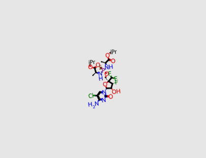 CC(C)OC(=O)[C@H](C)NP(=S)(N[C@@H](C)C(=O)OC(C)C)OC[C@@]1(C(F)F)O[C@@H](n2cc(Cl)c(N)nc2=O)[C@H](O)[C@H]1F